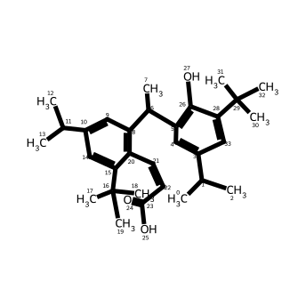 CC(C)c1cc(C(C)c2cc(C(C)C)cc(C(C)(C)C)c2C=CC(=O)O)c(O)c(C(C)(C)C)c1